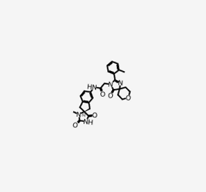 Cc1ccccc1C1=NC2(CCOCC2)C(=O)N1CC(=O)Nc1ccc2c(c1)C[C@@]1(C2)C(=O)NC(=O)N1C